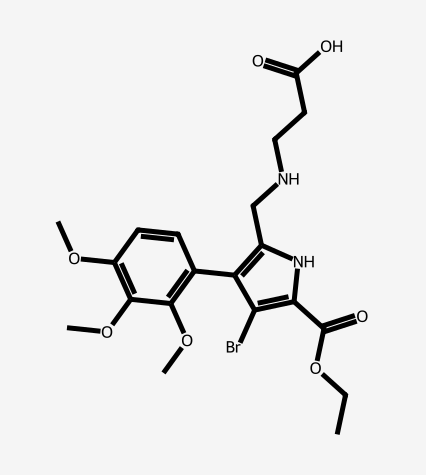 CCOC(=O)c1[nH]c(CNCCC(=O)O)c(-c2ccc(OC)c(OC)c2OC)c1Br